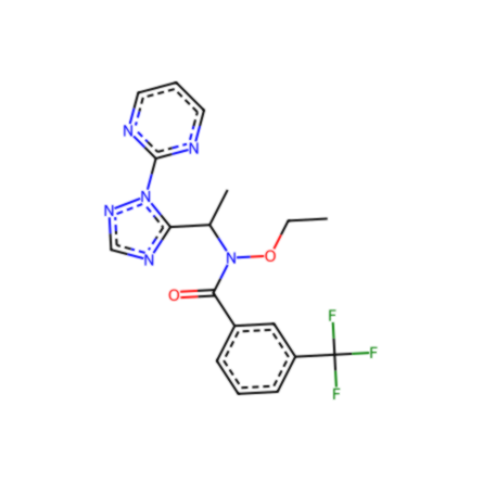 CCON(C(=O)c1cccc(C(F)(F)F)c1)C(C)c1ncnn1-c1ncccn1